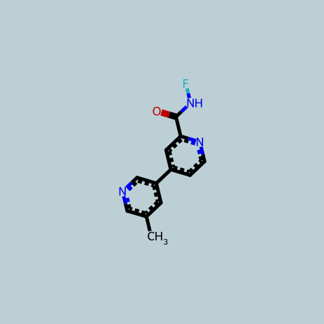 Cc1cncc(-c2ccnc(C(=O)NF)c2)c1